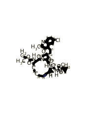 Cc1nc2ccc(Cl)cc2c2c1O[C@]1(CC2)C[C@H]2C(=O)N[C@]3(C(=O)NS(=O)(=O)C4(C)CC4)C[C@H]3/C=C\CCCCC[C@H](NC(=O)OC(C)C)C(=O)N2C1